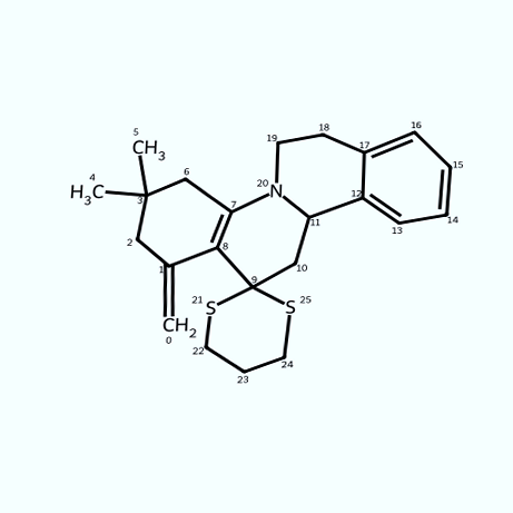 C=C1CC(C)(C)CC2=C1C1(CC3c4ccccc4CCN23)SCCCS1